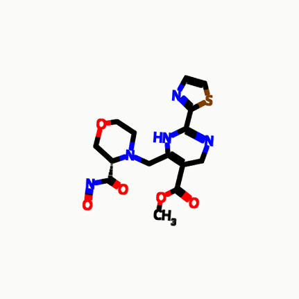 COC(=O)C1=C(CN2CCOC[C@H]2C(=O)N=O)NC(c2nccs2)=NC1